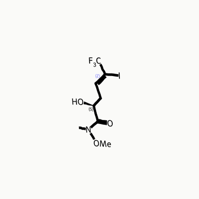 CON(C)C(=O)[C@@H](O)C/C=C(\I)C(F)(F)F